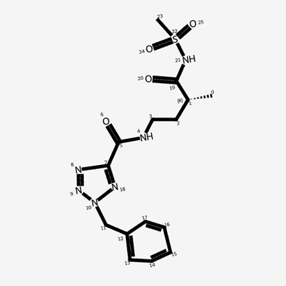 C[C@H](CCNC(=O)c1nnn(Cc2ccccc2)n1)C(=O)NS(C)(=O)=O